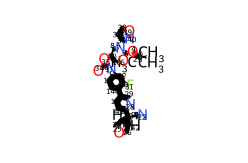 CC(C)(C)OC(=O)N(C[C@H]1CN(c2ccc(-c3ccc([C@@]4(C#N)[C@@H]5COC[C@@H]54)nc3)c(F)c2)C(=O)O1)c1ccon1